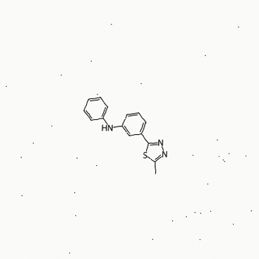 Cc1nnc(-c2cccc(Nc3ccccc3)c2)s1